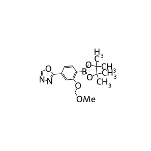 COCOc1cc(-c2nnco2)ccc1B1OC(C)(C)C(C)(C)O1